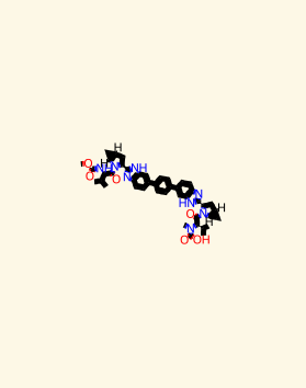 COC(=O)N[C@H](C(=O)N1[C@@H]2C[C@H]2C[C@H]1c1nc2ccc(-c3ccc(-c4ccc5nc([C@@H]6C[C@H]7C[C@H]7N6C(=O)[C@H](C(C)C)N(C)C(=O)O)[nH]c5c4)cc3)cc2[nH]1)C(C)C